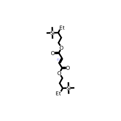 CCC(CCOC(=O)/C=C/C(=O)OCCC(CC)[Si](C)(C)C)[Si](C)(C)C